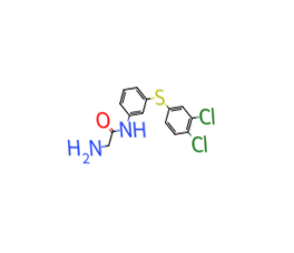 NCC(=O)Nc1cccc(Sc2ccc(Cl)c(Cl)c2)c1